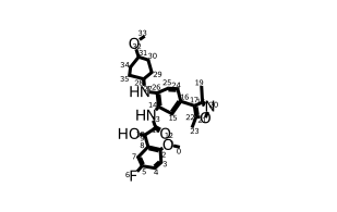 COc1ccc(F)cc1C(O)C(=O)Nc1cc(-c2c(C)noc2C)ccc1NC1CCC(OC)CC1